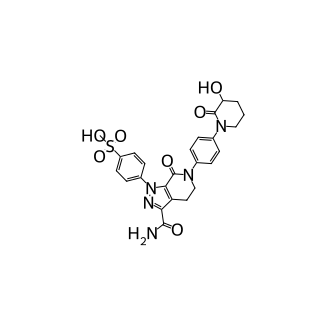 NC(=O)c1nn(-c2ccc(S(=O)(=O)O)cc2)c2c1CCN(c1ccc(N3CCCC(O)C3=O)cc1)C2=O